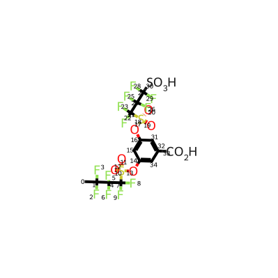 CC(F)(F)C(F)(F)C(F)(F)S(=O)(=O)Oc1cc(OS(=O)(=O)C(F)(F)C(F)(F)C(F)(F)S(=O)(=O)O)cc(C(=O)O)c1